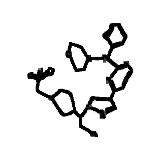 N#CCC(C1CCN(C[SH](=O)=O)CC1)n1cc(-c2ccnc(N(c3ccccc3)N3CCOCC3)n2)cn1